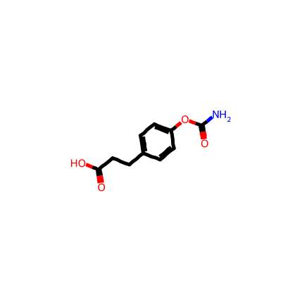 NC(=O)Oc1ccc(CCC(=O)O)cc1